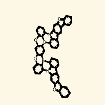 c1cc2c3c(c1)-n1c4cc5oc6ccccc6c5cc4c4cccc(c41)B3c1cc3c(cc1O2)Oc1cccc2c1B3c1cccc3c4cc5c(cc4n-2c13)oc1ccccc15